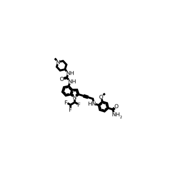 COc1cc(C(N)=O)ccc1NCC#Cc1cc2c(NC(=O)NC3CCN(C)CC3)cccc2n1C(F)C(F)F